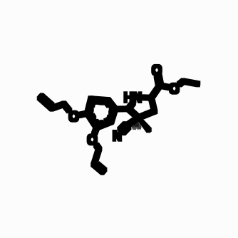 C=CCOc1ccc(C2NC(C(=O)OCC)C[C@]2(C)C#N)cc1OCC=C